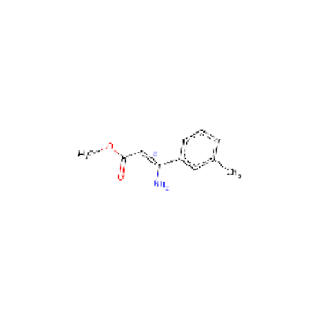 COC(=O)/C=C(\N)c1cccc(C)c1